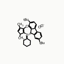 CC1=CC(C)[C]([Zr+2](=[C]2CCCCC2)[CH]2c3cc(C(C)(C)C)ccc3-c3ccc(C(C)(C)C)cc32)=C1C.[Cl-].[Cl-]